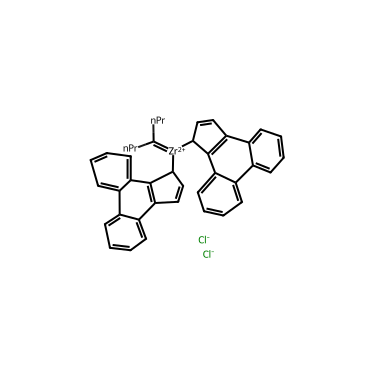 CCC[C](CCC)=[Zr+2]([CH]1C=Cc2c1c1ccccc1c1ccccc21)[CH]1C=Cc2c1c1ccccc1c1ccccc21.[Cl-].[Cl-]